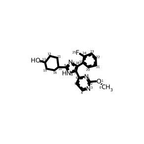 COc1nccc(-c2[nH]c(C3CCC(O)CC3)nc2-c2ccccc2F)n1